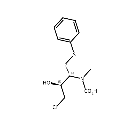 CN(C(=O)O)[C@@H](CSc1ccccc1)[C@H](O)CCl